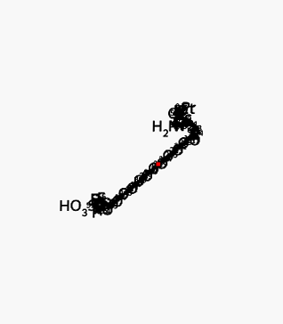 CCCN(OCC)C(=O)C1=Cc2sc(CC3CCN(C(=O)CCOCCOCCOCCOCCOCCOCCOCCOCCOCCOCCC(=O)Oc4c(F)c(F)c(S(=O)(=O)O)c(F)c4F)C3)cc2N=C(N)C1